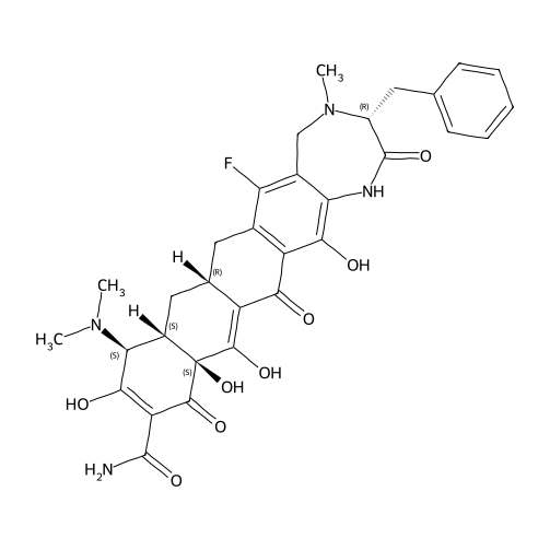 CN(C)[C@@H]1C(O)=C(C(N)=O)C(=O)[C@@]2(O)C(O)=C3C(=O)c4c(O)c5c(c(F)c4C[C@H]3C[C@@H]12)CN(C)[C@H](Cc1ccccc1)C(=O)N5